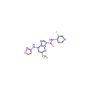 Cc1cc(Nc2ccon2)c2ncc(C(=O)Nc3ccncc3F)n2n1